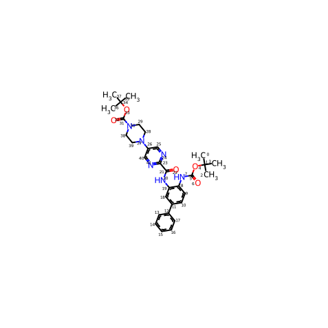 CC(C)(C)OC(=O)Nc1ccc(-c2ccccc2)cc1NC(=O)c1ncc(N2CCN(C(=O)OC(C)(C)C)CC2)cn1